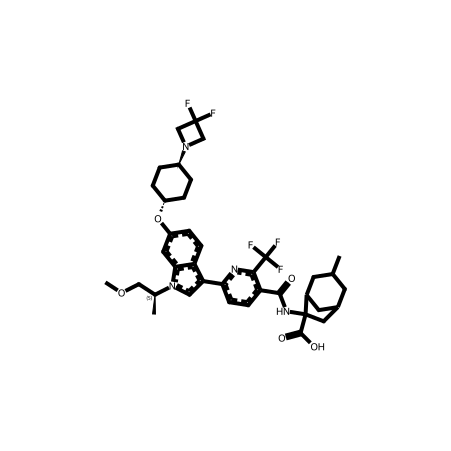 COC[C@H](C)n1cc(-c2ccc(C(=O)NC3(C(=O)O)CC4CC(C)CC3C4)c(C(F)(F)F)n2)c2ccc(O[C@H]3CC[C@H](N4CC(F)(F)C4)CC3)cc21